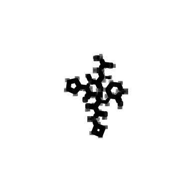 C[C@@H](NC(=O)C(C)(C)C)C(=O)N(C)[C@H](C(=O)N[C@@H](C[C@@H]1CCCNC1=O)C(=O)C(=O)NC1CCC1)C1CCCC1